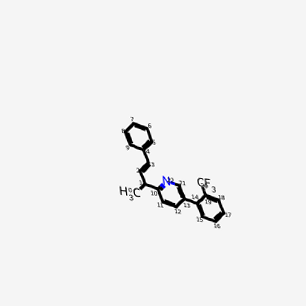 CC(/C=C/c1ccccc1)c1ccc(-c2ccccc2C(F)(F)F)cn1